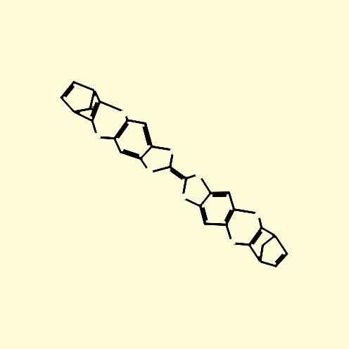 C1=CC2CC1C1=C2Sc2cc3c(cc2S1)SC(=C1Sc2cc4c(cc2S1)SC1=C(S4)C2C=CC1C2)S3